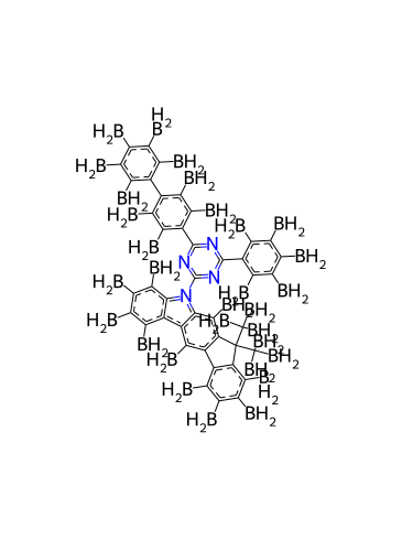 Bc1c(B)c(B)c(-c2nc(-c3c(B)c(B)c(-c4c(B)c(B)c(B)c(B)c4B)c(B)c3B)nc(-n3c4c(B)c(B)c(B)c(B)c4c4c(B)c5c(c(B)c43)C(C(B)(B)B)(C(B)(B)B)c3c(B)c(B)c(B)c(B)c3-5)n2)c(B)c1B